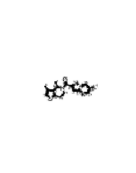 Cc1csc2c1C(C)N(C(=O)c1cc3ncc(Cl)cn3n1)CC2